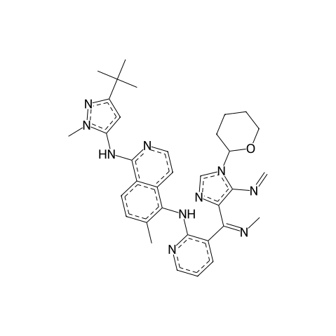 C=Nc1c(/C(=N\C)c2cccnc2Nc2c(C)ccc3c(Nc4cc(C(C)(C)C)nn4C)nccc23)ncn1C1CCCCO1